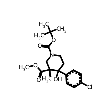 COC(=O)C1(C)CN(C(=O)OC(C)(C)C)CCC1(O)c1ccc(Cl)cc1